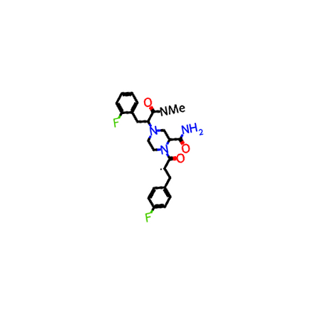 CNC(=O)C(Cc1ccccc1F)N1CCN(C(=O)[CH]Cc2ccc(F)cc2)C(C(N)=O)C1